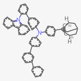 C1#C[C@H]2CC3C[C@H]1CC(c1ccc(N(c4ccc(-c5cccc(-c6ccccc6)c5)cc4)c4ccc(-c5ccccc5-n5c6ccccc6c6ccccc65)cc4)cc1)(C3)C2